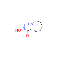 O=C(NO)C1CCCCCN1